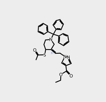 CCOC(=O)c1cnn(C/C=C2\CN(C(c3ccccc3)(c3ccccc3)c3ccccc3)CCC2SC(C)=O)c1